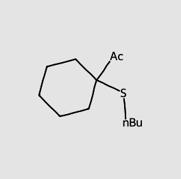 CCCCSC1(C(C)=O)CCCCC1